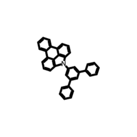 c1ccc(-c2cc(-c3ccccc3)cc(-n3c4cccc5c6ccccc6c6cccc3c6c54)c2)cc1